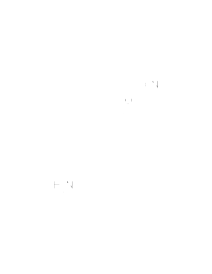 N#CCOc1ccc(CCCCN)cc1